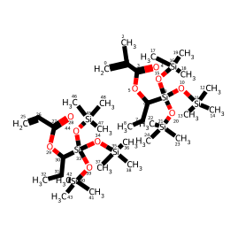 C=C(C)C(=O)OC(CC)[Si](O[Si](C)(C)C)(O[Si](C)(C)C)O[Si](C)(C)C.C=CC(=O)OC(CC)[Si](O[Si](C)(C)C)(O[Si](C)(C)C)O[Si](C)(C)C